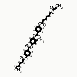 C=CC(=O)OCCCCCC(=O)Oc1ccc(C(=O)Oc2ccc(OC(=O)c3ccc(OC(=O)CCCCC)cc3)cc2C)cc1